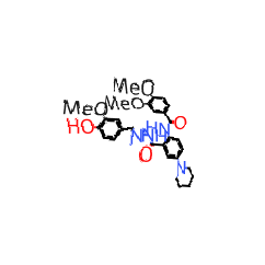 COc1cc(C=NNC(=O)c2cc(N3CCCCC3)ccc2NC(=O)c2ccc(OC)c(OC)c2)ccc1O